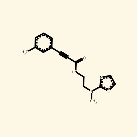 Cc1cccc(C#CC(=O)NCCN(C)c2nccs2)c1